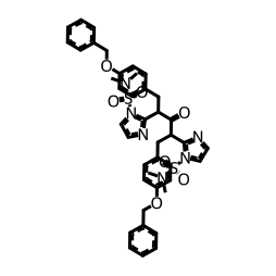 CN(C)S(=O)(=O)n1ccnc1C(Cc1ccc(OCc2ccccc2)cc1)C(=O)C(Cc1ccc(OCc2ccccc2)cc1)c1nccn1S(=O)(=O)N(C)C